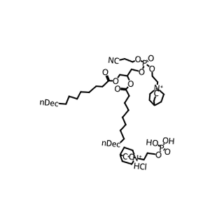 CCCCCCCCCCCCCCCCCC(=O)OCC(COP(=O)(OCCC#N)OCC[N+]12CCC(CC1)CC2)OC(=O)CCCCCCCCCCCCCCCCC.Cl.O=P(O)(O)OCC[N+]12CCC(CC1)CC2